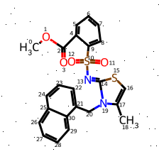 COC(=O)c1ccccc1S(=O)(=O)N=c1scc(C)n1Cc1cccc2ccccc12